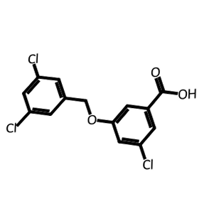 O=C(O)c1cc(Cl)cc(OCc2cc(Cl)cc(Cl)c2)c1